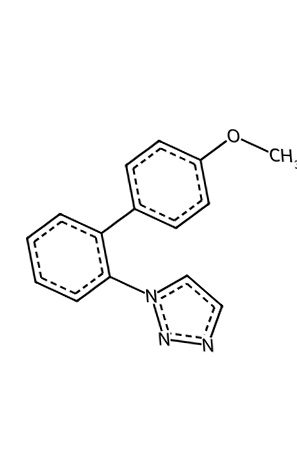 COc1ccc(-c2ccccc2-n2ccnn2)cc1